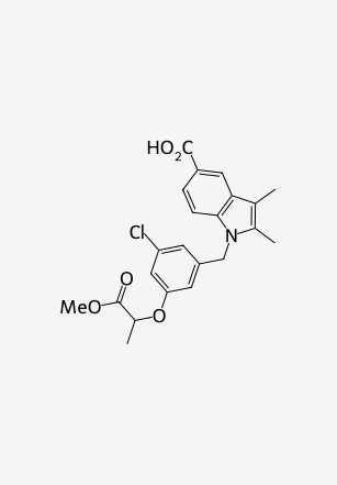 COC(=O)C(C)Oc1cc(Cl)cc(Cn2c(C)c(C)c3cc(C(=O)O)ccc32)c1